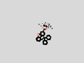 CC1(C)OB(c2cc3c4c(c2)oc2cccc(c24)C3(c2ccccc2)c2ccccc2)OC1(C)C